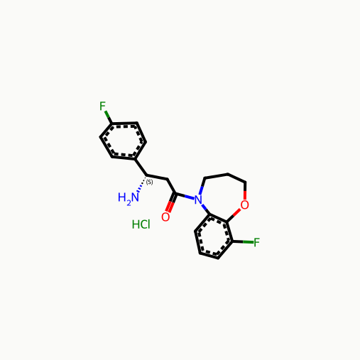 Cl.N[C@@H](CC(=O)N1CCCOc2c(F)cccc21)c1ccc(F)cc1